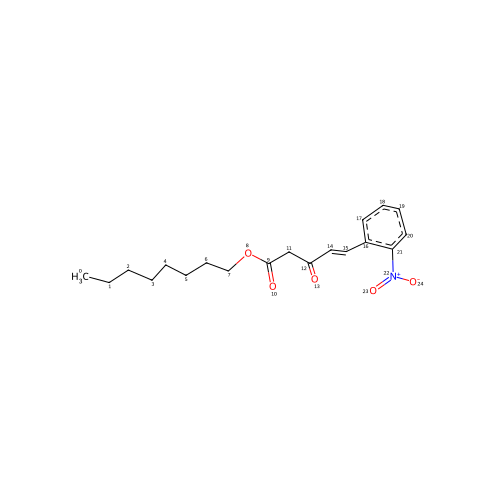 CCCCCCCCOC(=O)CC(=O)C=Cc1ccccc1[N+](=O)[O-]